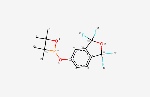 CC1(C)OP(Oc2ccc3c(c2)C(F)(F)OC3(F)F)C1(C)C